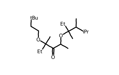 CCC(C)(OCCC(C)(C)C)C(=O)C(C)OC(C)(CC)C(C)C(C)C